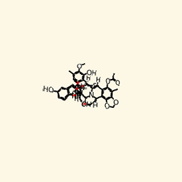 COc1c(C)cc2c(c1O)[C@H]1C3[C@@H]4SC[C@]5(NCCc6c5[nH]c5ccc(O)cc65)C(=O)COC[C@@H](c5c6c(c(C)c(OC(C)=O)c54)OCO6)N3[C@@H](O)[C@@H](C2)N1C